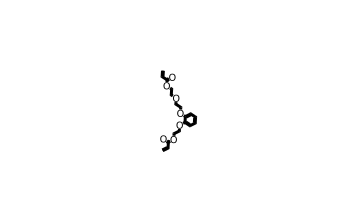 C=CC(=O)OCCOCCOc1ccccc1OCCOC(=O)C=C